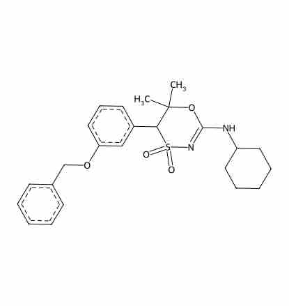 CC1(C)OC(NC2CCCCC2)=NS(=O)(=O)C1c1cccc(OCc2ccccc2)c1